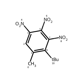 Cc1cc([N+](=O)[O-])c([N+](=O)[O-])c([N+](=O)[O-])c1C(C)(C)C